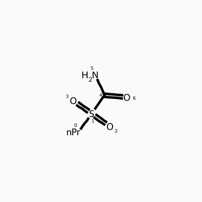 C[CH]CS(=O)(=O)C(N)=O